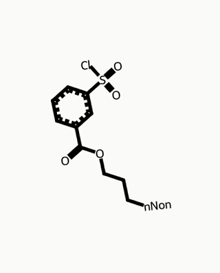 CCCCCCCCCCCCOC(=O)c1cccc(S(=O)(=O)Cl)c1